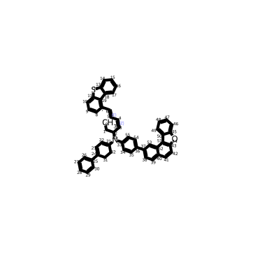 CCC(/C=C\C=C\c1cccc2sc3ccccc3c12)N(C1=CC=C(c2ccccc2)CC1)c1ccc(-c2ccc3ccc4oc5ccccc5c4c3c2)cc1